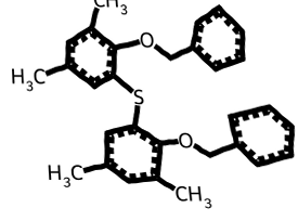 Cc1cc(C)c(OCc2ccccc2)c(Sc2cc(C)cc(C)c2OCc2ccccc2)c1